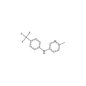 Cc1ccc(Nc2ccc(C(F)(F)F)cc2)cn1